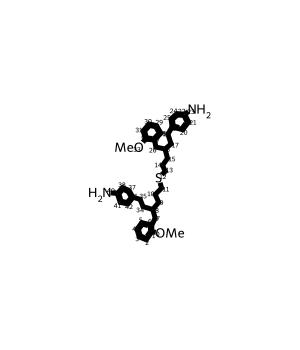 COc1ccccc1CC(CCCSCCCC(CCc1ccc(N)cc1)Cc1ccccc1OC)CCc1ccc(N)cc1